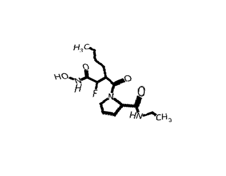 CCCCC(C(=O)N1CCCC1C(=O)NCC)C(F)C(=O)NO